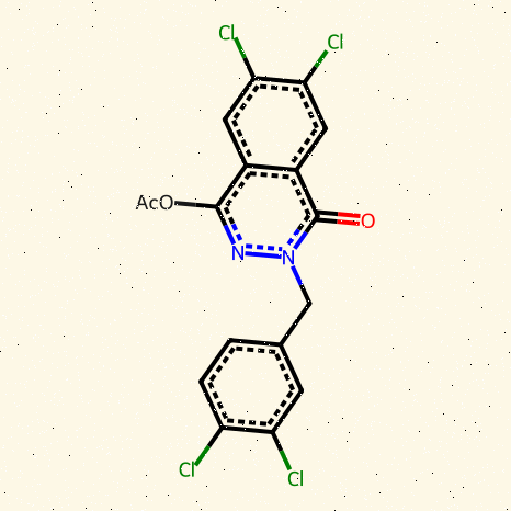 [CH2]C(=O)Oc1nn(Cc2ccc(Cl)c(Cl)c2)c(=O)c2cc(Cl)c(Cl)cc12